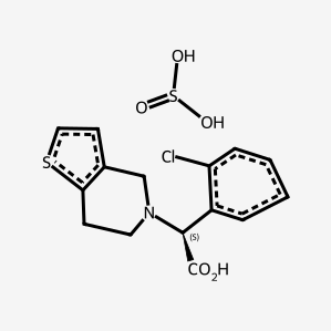 O=C(O)[C@H](c1ccccc1Cl)N1CCc2sccc2C1.O=S(O)O